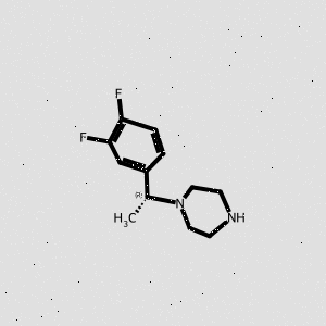 C[C@H](c1ccc(F)c(F)c1)N1CCNCC1